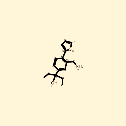 CCC(O)(CC)c1ccc(-c2c[c]cs2)c(CN)c1